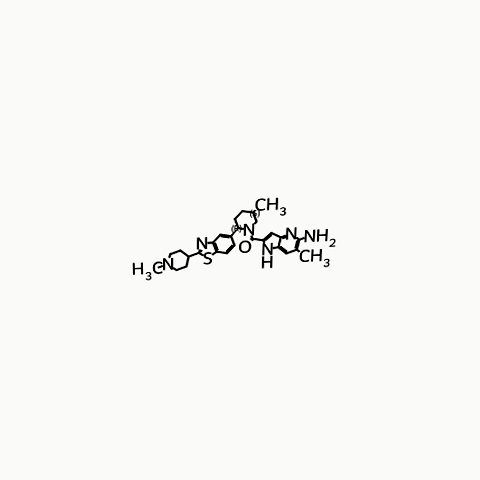 Cc1cc2[nH]c(C(=O)N3C[C@@H](C)CC[C@@H]3c3ccc4sc(C5CCN(C)CC5)nc4c3)cc2nc1N